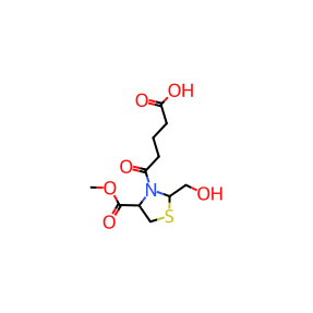 COC(=O)C1CSC(CO)N1C(=O)CCCC(=O)O